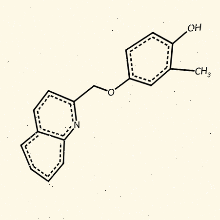 Cc1cc(OCc2ccc3ccccc3n2)ccc1O